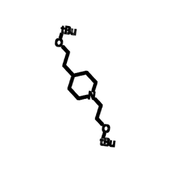 CC(C)(C)OCCC1CCN(CCOC(C)(C)C)CC1